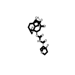 CCC1C[C@@H](OC(=O)NC(=O)[C@H]2CN3CC[C@@H]2C3)[C@]23C[C@@H]2CCC2(CC[C@@H](OC)C23)[C@@H](C)C1=O